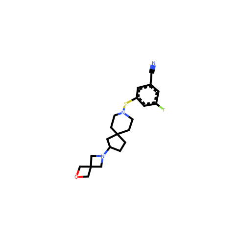 N#Cc1cc(F)cc(SN2CCC3(CCC(N4CC5(COC5)C4)C3)CC2)c1